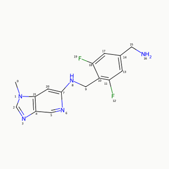 Cn1cnc2cnc(NCc3c(F)cc(CN)cc3F)cc21